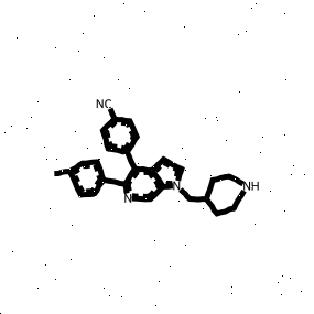 Cc1ccc(-c2ncc3c(ccn3CC3CCNCC3)c2-c2ccc(C#N)cc2)cc1